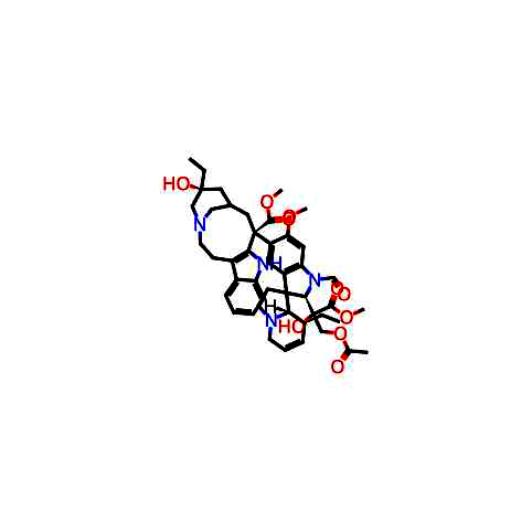 CC[C@H]1C=CCN2CCC3(c4cc([C@@]5(C(=O)OC)CC6CN(CCc7c5[nH]c5ccccc75)C[C@](O)(CC)C6)c(OC)cc4N(C=O)[C@H]3C(O)(COC(C)=O)C(=O)OC)[C@H]12